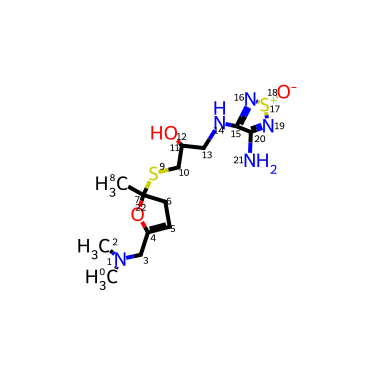 CN(C)CC1=CCC(C)(SCC(O)CNc2n[s+]([O-])nc2N)O1